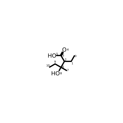 CCC(C(=O)O)C(C)(O)CC